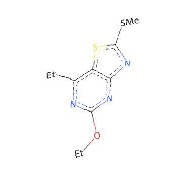 CCOc1nc(CC)c2sc(SC)nc2n1